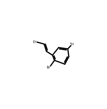 [2H]c1ccc(Br)c(C=CCC)c1